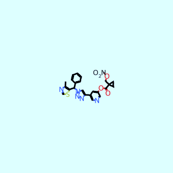 Cc1ncsc1C(c1ccccc1)n1cc(-c2cncc(OC(=O)C3(CO[N+](=O)[O-])CC3)c2)nn1